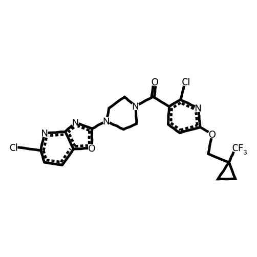 O=C(c1ccc(OCC2(C(F)(F)F)CC2)nc1Cl)N1CCN(c2nc3nc(Cl)ccc3o2)CC1